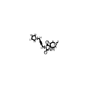 CN1CCC2(CC1)NC(=O)N(CC#CCN1CCCC1)C2=O